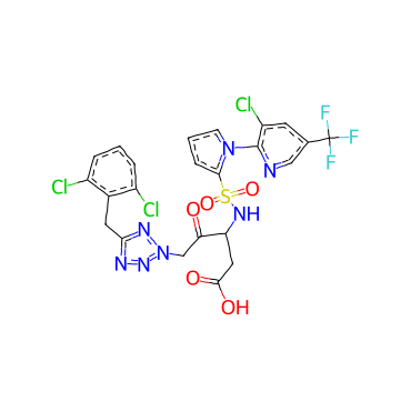 O=C(O)CC(NS(=O)(=O)c1cccn1-c1ncc(C(F)(F)F)cc1Cl)C(=O)Cn1nnc(Cc2c(Cl)cccc2Cl)n1